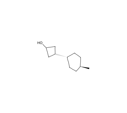 C[C@H]1CC[C@H](C2CC(O)C2)CC1